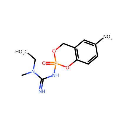 CN(CC(=O)O)C(=N)NP1(=O)OCc2cc([N+](=O)[O-])ccc2O1